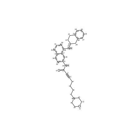 O=C(C#CCCCCN1CCOCC1)Nc1cc2c(NC3CCc4ccccc4C3)ncnc2cn1